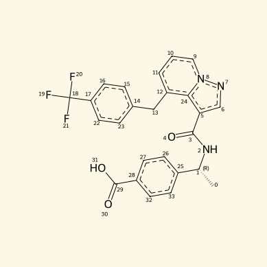 C[C@@H](NC(=O)c1cnn2cccc(Cc3ccc(C(F)(F)F)cc3)c12)c1ccc(C(=O)O)cc1